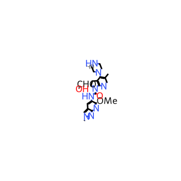 COc1nc2nn(C)cc2cc1NC(=O)N1CCc2c1ncc(C)c2N1CCN[C@@H](C)C1.O=CO